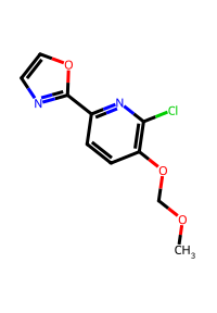 COCOc1ccc(-c2ncco2)nc1Cl